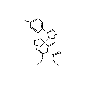 COC(=O)C(C(=O)OC)C(=O)C1(n2cccc2-c2ccc(C)cc2)CCCC1